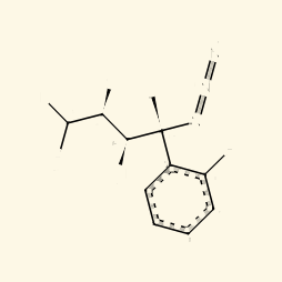 C[C@@](N=[N+]=[N-])(c1ccccc1F)[C@@H](O)[C@H](O)C(F)F